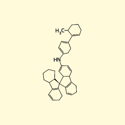 CC1CCCC=C1C1=CC=C(NC2=CC3C(C=C2)C2=C(C=CCC2)[C@]32C3=C(C=CCC3)C3CCCCC32)CC1